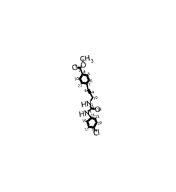 COC(=O)c1ccc(C#CCNC(=O)Nc2ccc(Cl)cc2)cc1